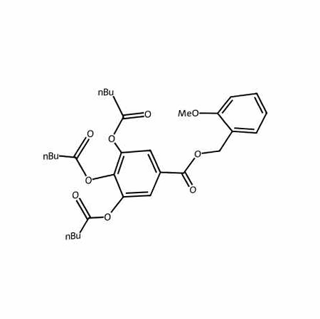 CCCCC(=O)Oc1cc(C(=O)OCc2ccccc2OC)cc(OC(=O)CCCC)c1OC(=O)CCCC